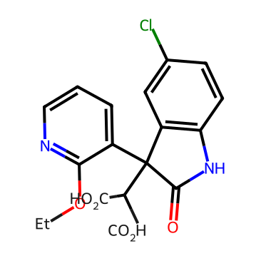 CCOc1ncccc1C1(C(C(=O)O)C(=O)O)C(=O)Nc2ccc(Cl)cc21